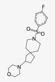 O=S(=O)(c1ccc(F)cc1)N1CCC2(CCC(N3CCOCC3)C2)CC1